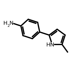 Cc1ccc(-c2ccc(N)cc2)[nH]1